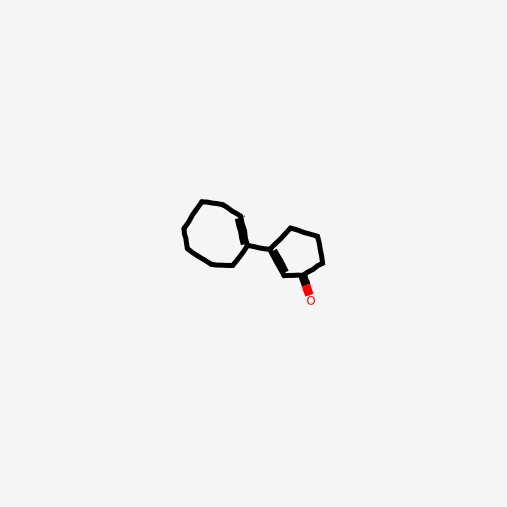 O=C1C=C(/C2=[C]/CCCCCC2)CCC1